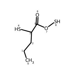 CCCC(S)C(=O)OS